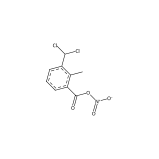 Cc1c(C(=O)O[N+](=O)[O-])cccc1C(Cl)Cl